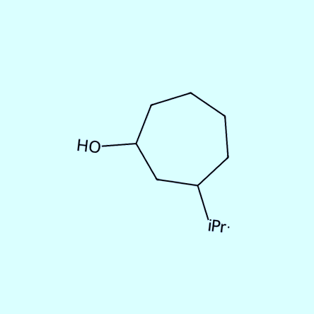 C[C](C)C1CCCCC(O)C1